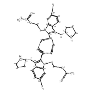 CC(=O)OCCn1c(-c2ccc(-c3c(C[C@@H]4CCCN4)c4ccc(F)cc4n3CCOC(C)=O)cc2)c(C[C@@H]2CCCN2)c2ccc(F)cc21